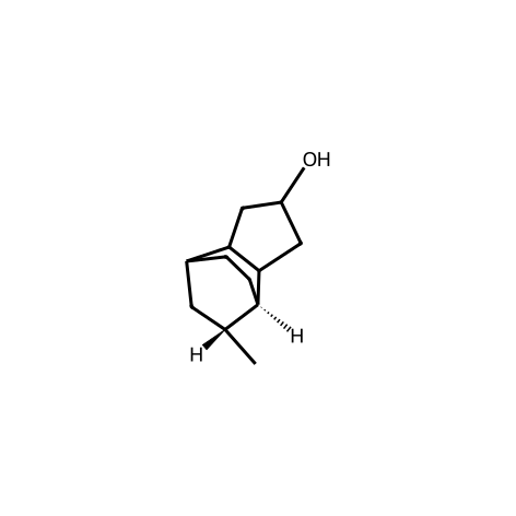 C[C@@H]1CC2CC[C@H]1C1CC(O)CC21